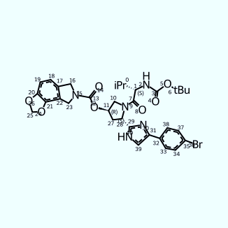 CC(C)[C@H](NC(=O)OC(C)(C)C)C(=O)N1C[C@H](OC(=O)N2Cc3ccc4c(c3C2)OCO4)C[C@H]1c1nc(-c2ccc(Br)cc2)c[nH]1